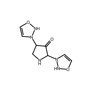 O=C1C(N2C=CON2)CNC1N1C=CON1